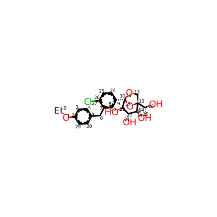 CCOc1ccc(Cc2cc([C@]34OC[C@]([C@@H](C)O)(O3)[C@@H](O)[C@H](O)[C@H]4O)ccc2Cl)cc1